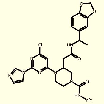 CCCNC(=O)N1CCN(c2cc(Cl)nc(-n3ccnc3)n2)C(CC(=O)NC(C)c2ccc3c(c2)OCO3)C1